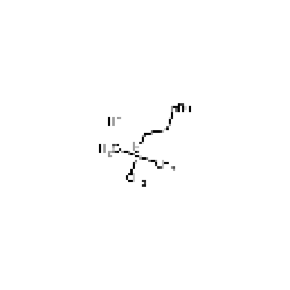 CCCCCC[PH](C)(C)C.F